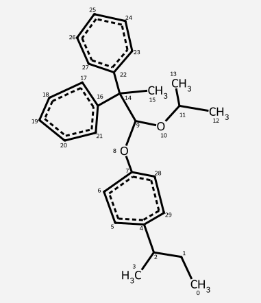 CCC(C)c1ccc(OC(OC(C)C)C(C)(c2ccccc2)c2ccccc2)cc1